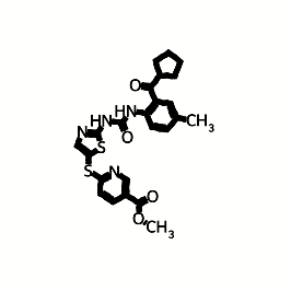 COC(=O)c1ccc(Sc2cnc(NC(=O)Nc3ccc(C)cc3C(=O)C3CCCC3)s2)nc1